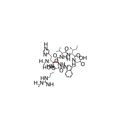 CC[C@H](C)[C@H](NC(=O)[C@@H](NC(=O)[C@H](CC(=O)O)NC(=O)[C@H](CCCNC(=N)N)NC(=O)[C@H](N)Cc1c[nH]cn1)C(C)C)C(=O)N[C@@H](Cc1c[nH]c2ccccc12)C(=O)O